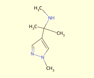 CNC(C)(C)c1cnn(C)c1